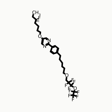 CC[C@@H](F)CCCCOc1cnc(-c2ccc(CCCCCCOCC(F)(F)C(F)(F)OC(F)(F)C(F)(F)F)cc2)nc1